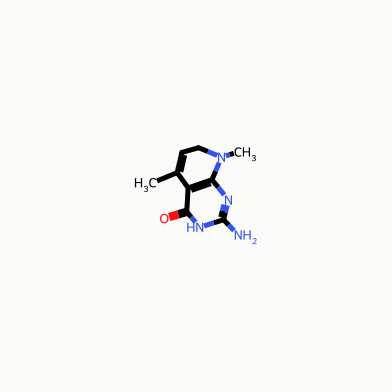 CC1=CCN(C)c2nc(N)[nH]c(=O)c21